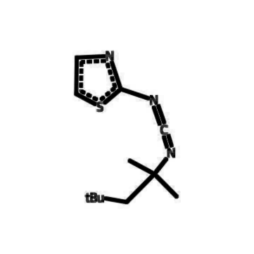 CC(C)(C)CC(C)(C)N=C=Nc1nccs1